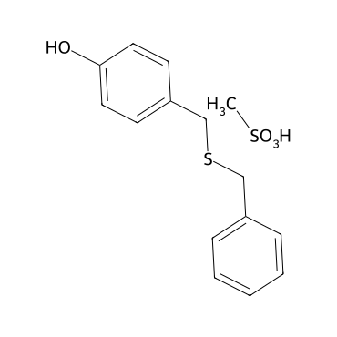 CS(=O)(=O)O.Oc1ccc(CSCc2ccccc2)cc1